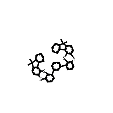 CC1(C)c2ccccc2-c2c1ccc1c2Sc2c(cccc2-c2cccc(-c3cccc4c3Sc3c(ccc5c3-c3ccccc3C5(C)C)S4)c2)S1